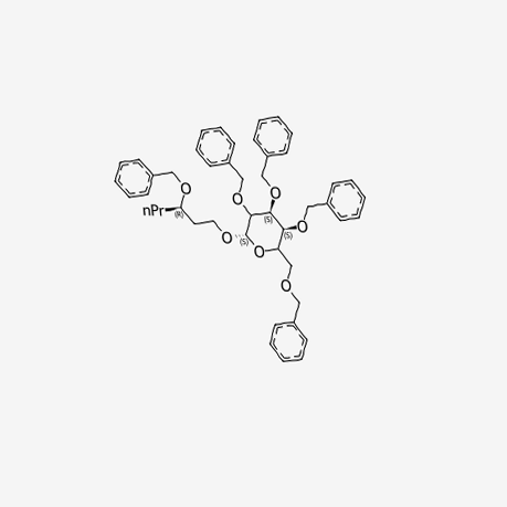 CCC[C@H](CCO[C@H]1OC(COCc2ccccc2)[C@H](OCc2ccccc2)[C@H](OCc2ccccc2)C1OCc1ccccc1)OCc1ccccc1